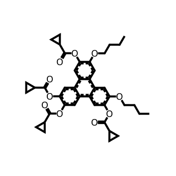 CCCCOc1cc2c3cc(OCCCC)c(OC(=O)C4CC4)cc3c3cc(OC(=O)C4CC4)c(OC(=O)C4CC4)cc3c2cc1OC(=O)C1CC1